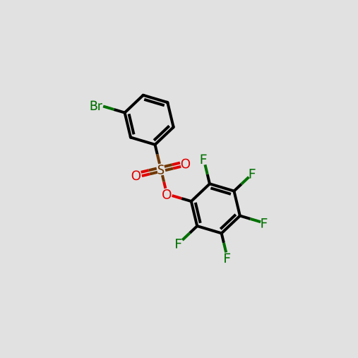 O=S(=O)(Oc1c(F)c(F)c(F)c(F)c1F)c1cccc(Br)c1